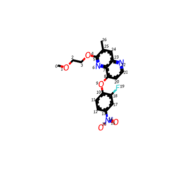 COCCOc1nc2c(Oc3ccc([N+](=O)[O-])cc3F)ccnc2cc1C